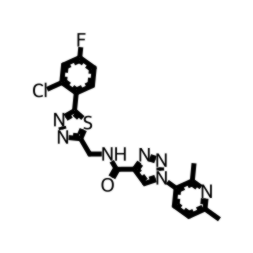 Cc1ccc(-n2cc(C(=O)NCc3nnc(-c4ccc(F)cc4Cl)s3)nn2)c(C)n1